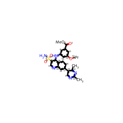 COC(=O)c1cc(Nc2c(S(N)(=O)=O)cnc3cc(-c4cnc(C)nc4C)ccc23)cc(OC(C)C)c1